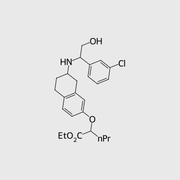 CCCC(Oc1ccc2c(c1)CC(NC(CO)c1cccc(Cl)c1)CC2)C(=O)OCC